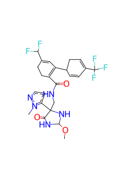 COC1NC(=O)C(CNC(=O)C2=C(C3C=CC(C(F)(F)F)=CC3)C=C(C(F)F)CC2)(c2ccnn2C)N1